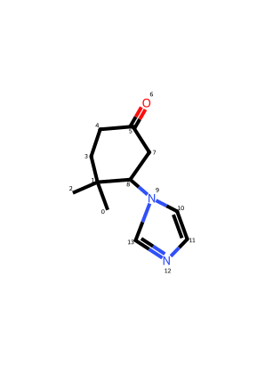 CC1(C)CCC(=O)CC1n1ccnc1